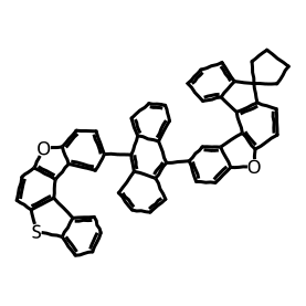 c1ccc2c(c1)-c1c(ccc3oc4ccc(-c5c6ccccc6c(-c6ccc7oc8ccc9sc%10ccccc%10c9c8c7c6)c6ccccc56)cc4c13)C21CCCC1